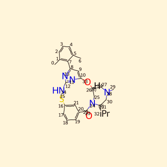 Cc1cccc(C)c1-c1cc2nc(n1)NSc1cccc(c1)C(=O)N1C[C@@H](CN(C)C[C@H]1C(C)C)O2